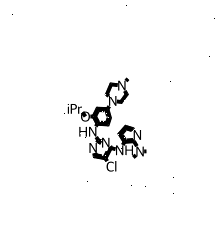 CC(C)Oc1cc(N2CCN(C)CC2)ccc1Nc1ncc(Cl)c(Nc2cccnc2N(C)C)n1